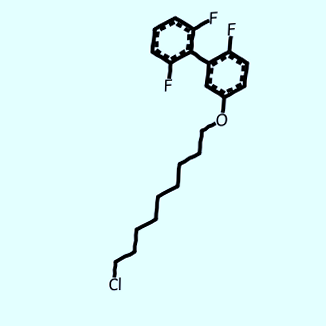 Fc1ccc(OCCCCCCCCCCl)cc1-c1c(F)cccc1F